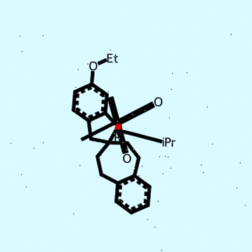 CCOc1ccc2c(c1)C1(NC(=O)N(C(C)C)C1=O)C1(CCc3ccccc3CC1)C2